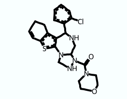 O=C(N1CCOCC1)N1NCN2c3sc4c(c3C(c3ccccc3Cl)NCC12)CCC=C4